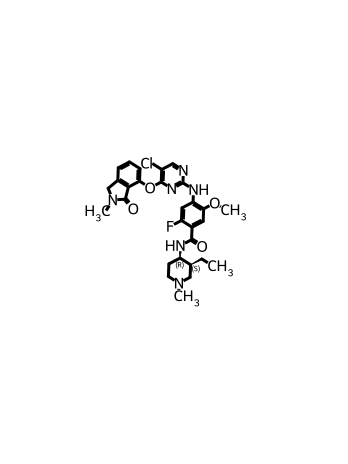 CC[C@H]1CN(C)CC[C@H]1NC(=O)c1cc(OC)c(Nc2ncc(Cl)c(Oc3cccc4c3C(=O)N(C)C4)n2)cc1F